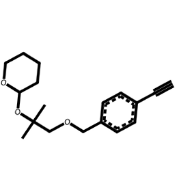 C#Cc1ccc(COCC(C)(C)OC2CCCCO2)cc1